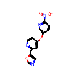 O=[N+]([O-])c1ccc(Oc2ccnc(-c3cnco3)c2)cn1